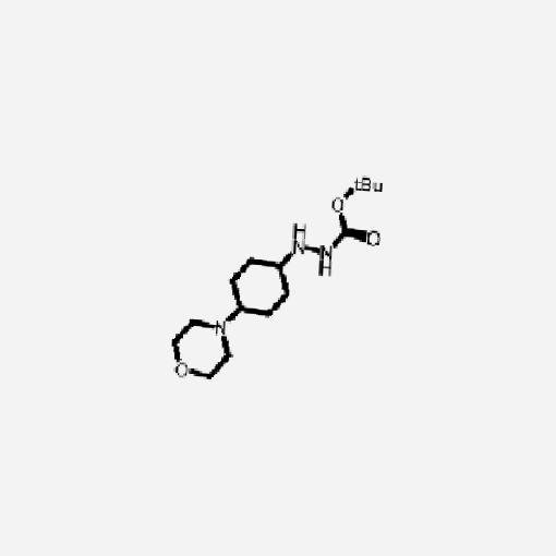 CC(C)(C)OC(=O)NNC1CCC(N2CCOCC2)CC1